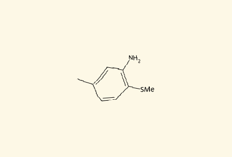 CSc1ccc(C)cc1N